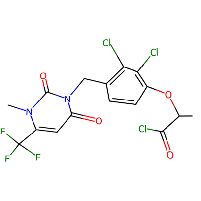 CC(Oc1ccc(Cn2c(=O)cc(C(F)(F)F)n(C)c2=O)c(Cl)c1Cl)C(=O)Cl